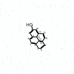 OC1=CC2=CC=C3CC=CC4=C3C2C(=C1)C=C4